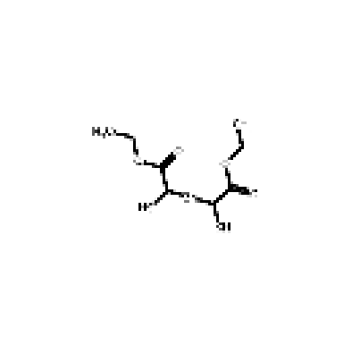 CCOC(=O)[CH](S)[Zn][CH](S)C(=O)OCC